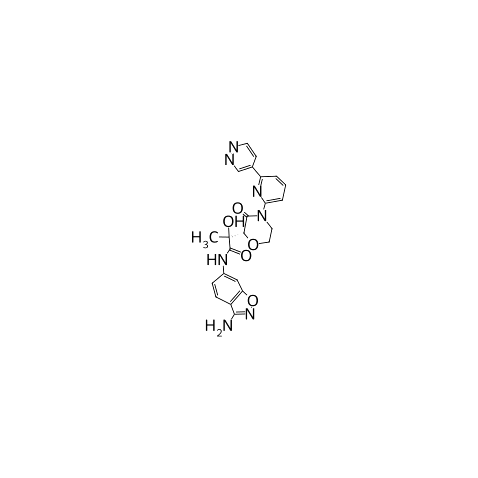 CC(O)(C(=O)Nc1ccc2c(N)noc2c1)[C@H]1OCCN(c2cccc(-c3ccnnc3)n2)C1=O